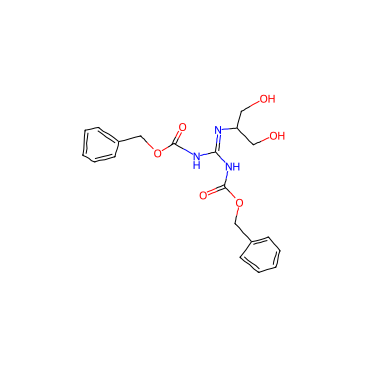 O=C(NC(=NC(CO)CO)NC(=O)OCc1ccccc1)OCc1ccccc1